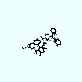 C#Cc1cccc(C2C(C(=O)OCCOC)=C(C)NC(C)=C2C(=O)OC(C)N2CCN(C(c3ccccc3)c3ccccc3)CC2)c1